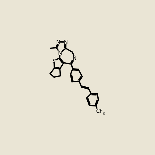 Cc1nnc2n1-c1sc3c(c1C(c1ccc(/C=C/c4ccc(C(F)(F)F)cc4)cc1)=NC2)CCC3